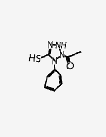 CC(=O)N1NN=C(S)N1c1ccccc1